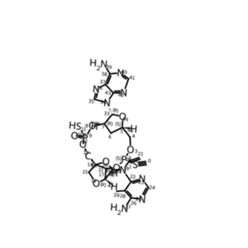 C#S[P@]1OC[C@@H]2C[C@@H](O[P@](=O)(S)OC[C@@]34CO[C@@H]([C@H](N(C=C)c5ncnc(N)c5C)O3)[C@@H]4O1)[C@H](n1cnc3c(N)ncnc31)O2